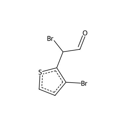 O=CC(Br)c1sccc1Br